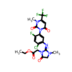 CCOC(=O)CN1C(=O)CN(C)/C1=N/c1cc(-n2c(=O)cc(C(F)(F)F)n(C)c2=O)c(F)cc1Cl